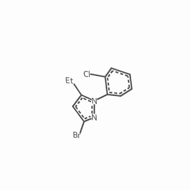 CCc1cc(Br)nn1-c1ccccc1Cl